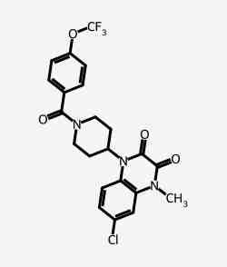 Cn1c(=O)c(=O)n(C2CCN(C(=O)c3ccc(OC(F)(F)F)cc3)CC2)c2ccc(Cl)cc21